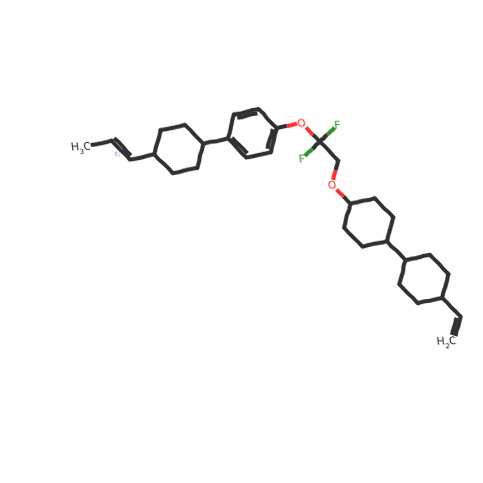 C=CC1CCC(C2CCC(OCC(F)(F)Oc3ccc(C4CCC(/C=C/C)CC4)cc3)CC2)CC1